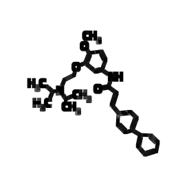 COc1ccc(NC(=O)C=Cc2ccc(-c3ccccc3)cc2)cc1OCCN(C(C)C)C(C)C